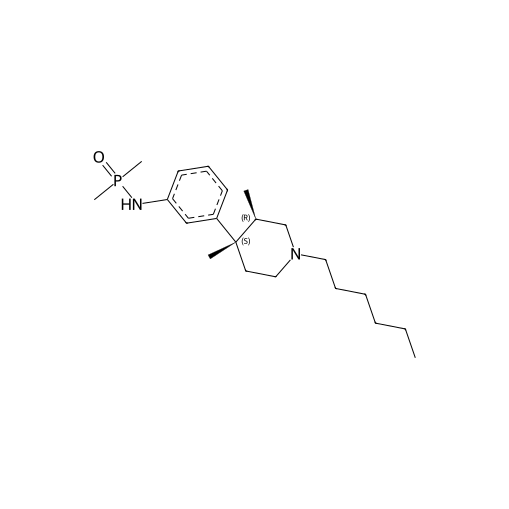 CCCCCCN1CC[C@](C)(c2cccc(NP(C)(C)=O)c2)[C@@H](C)C1